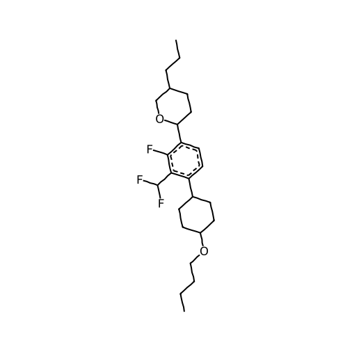 CCCCOC1CCC(c2ccc(C3CCC(CCC)CO3)c(F)c2C(F)F)CC1